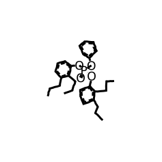 CCCc1cccc(OP(=O)(Oc2ccccc2)Oc2cccc(CCC)c2CCC)c1CCC